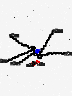 CCCCCCCCCCCCCCCCCCCC#CCCc1cccc(C2=CC(CCCCCCCCCCCCCCCCCCC)=C(c3cccc(CCC#CCCCCCCCCCCCCCCCCCCC)c3CCCCC=CCCCCCCCCCCCCCCCCCCC)[N+]2=[N-])c1CCCCC=CCCCCCCCCCCCCCCCCCCC.CCCC[O][Ni][O]CCCC